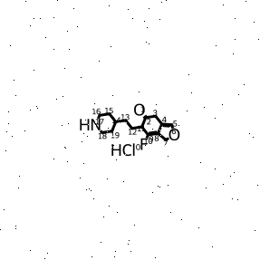 Cl.O=C1CC2=COCC2=C(F)C1CCC1CCNCC1